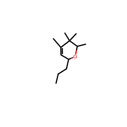 CCCC1C=C(C)C(C)(C)C(C)O1